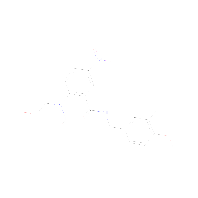 COc1ccc(CNC(=O)c2cc([N+](=O)[O-])ccc2N(CO)CCO)cc1Cl